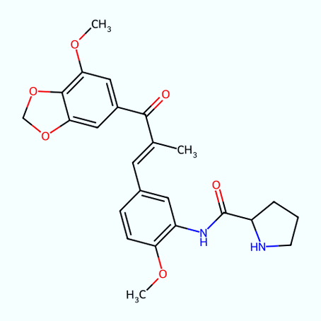 COc1ccc(C=C(C)C(=O)c2cc(OC)c3c(c2)OCO3)cc1NC(=O)C1CCCN1